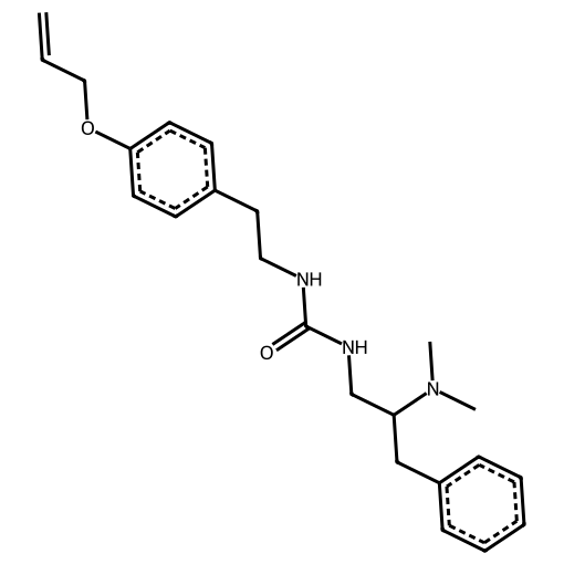 C=CCOc1ccc(CCNC(=O)NCC(Cc2ccccc2)N(C)C)cc1